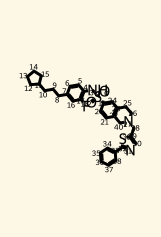 O=S(=O)(Nc1ccc(CCCC2CCCC2)cc1F)c1ccc2c(c1)CCN(Cc1cnc(-c3ccccc3)s1)C2